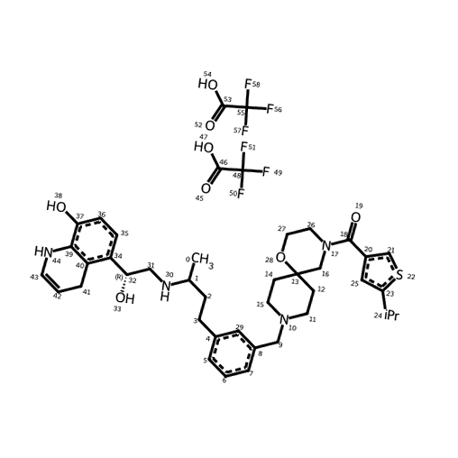 CC(CCc1cccc(CN2CCC3(CC2)CN(C(=O)c2csc(C(C)C)c2)CCO3)c1)NC[C@H](O)c1ccc(O)c2c1CC=CN2.O=C(O)C(F)(F)F.O=C(O)C(F)(F)F